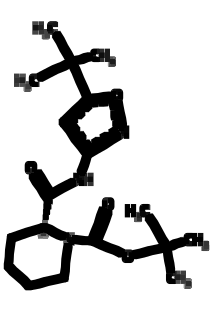 CC(C)(C)OC(=O)N1CCCC[C@@H]1C(=O)Nc1cc(C(C)(C)C)on1